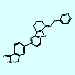 O=C1NCc2cc(-c3ccc4[nH]c5c(c4c3)CCC/C5=N\Cc3cccnc3)ccc21